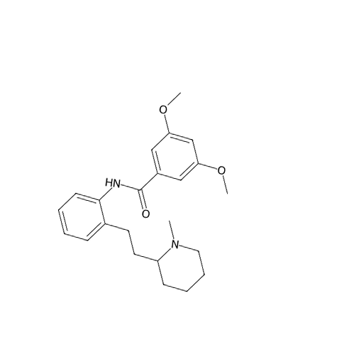 COc1cc(OC)cc(C(=O)Nc2ccccc2CCC2CCCCN2C)c1